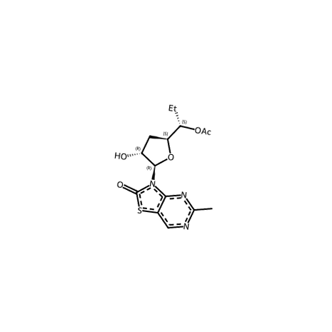 CC[C@H](OC(C)=O)[C@@H]1C[C@@H](O)[C@H](n2c(=O)sc3cnc(C)nc32)O1